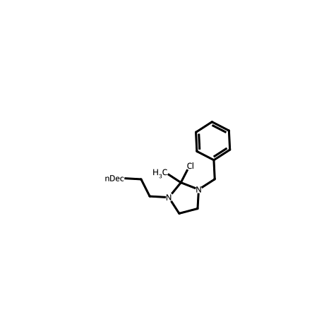 CCCCCCCCCCCCN1CCN(Cc2ccccc2)C1(C)Cl